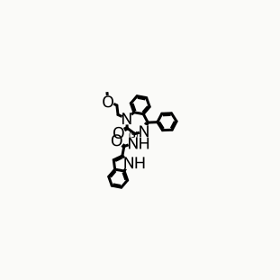 COCCN1C(=O)[C@@H](NC(=O)c2cc3ccccc3[nH]2)N=C(c2ccccc2)c2ccccc21